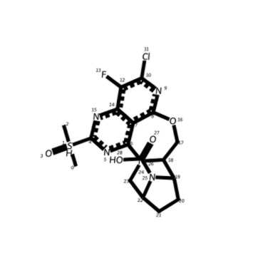 C[SH](C)(=O)c1nc2c3c(nc(Cl)c(F)c3n1)OCC1C3CCC(CN21)N3C(=O)O